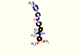 COc1ccc(-c2[nH]c3ccc(C4CCN(C(=O)CN5CCC(N6CCN(C)CC6)CC5)CC4)cc3c2C(C)C)cc1OC